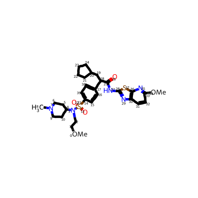 COCCN(C1CCN(C)CC1)S(=O)(=O)c1ccc(C(CC2CCCC2)C(=O)Nc2nc3ccc(OC)nc3s2)cc1